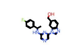 CC(Nc1cncc(-n2cnc3ccc(CO)cc32)n1)c1ccc(F)cc1